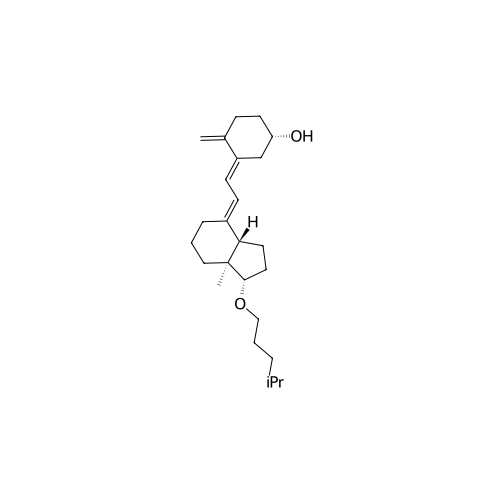 C=C1CC[C@H](O)CC1=CC=C1CCC[C@]2(C)[C@@H](OCCCC(C)C)CC[C@@H]12